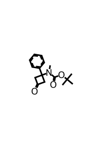 CN(C(=O)OC(C)(C)C)C1(c2ccccc2)CC(=O)C1